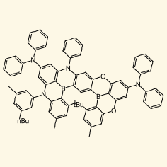 CCCCc1cc(C)cc(N2c3cc(C)cc(I)c3B3c4cc5c(cc4N(c4ccccc4)c4cc(N(c6ccccc6)c6ccccc6)cc2c43)Oc2cc(N(c3ccccc3)c3ccccc3)cc3c2B5c2c(cc(C)cc2C(C)(C)C)O3)c1